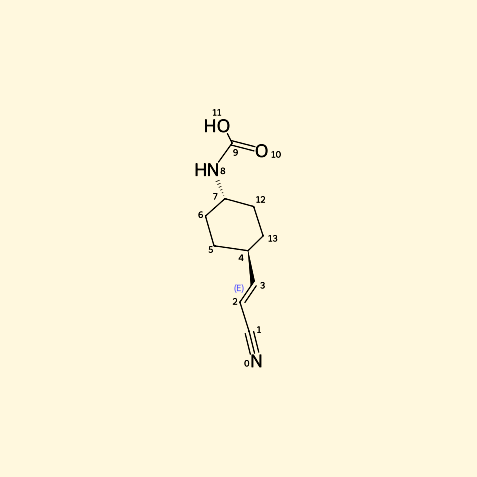 N#C/C=C/[C@H]1CC[C@H](NC(=O)O)CC1